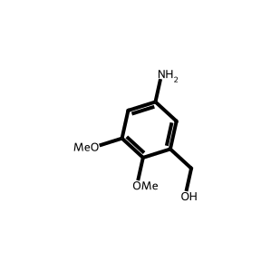 COc1cc(N)cc(CO)c1OC